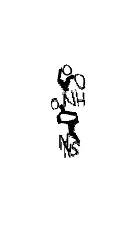 O=C(NC1CCOC1=O)c1ccc(C2CSN=N2)cc1